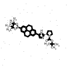 CC(C)(C)OC(=O)N1CCC[C@H]1c1ncc(-c2cc3c4c(c2)CCc2cc(B5OC(C)(C)C(C)(C)O5)cc(c2-4)CC3)[nH]1